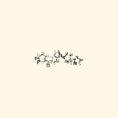 O=C(c1cnc2c(cnn2-c2ccc(-c3nnc[nH]3)c(F)c2)c1)N1CCCC(F)(F)C1